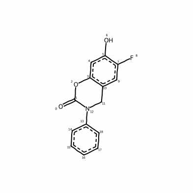 O=C1Oc2cc(O)c(F)cc2CN1c1ccccc1